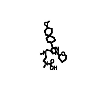 COC1CCC2(CC=C(c3nn(C4CCCCO4)cc3CN(C)CCN(C)C(=O)O)CC2)CC1